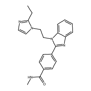 CCc1nccn1CCn1c(-c2ccc(C(=O)NC)cc2)nc2ccccc21